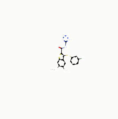 COc1cc2sc(C(=O)Nc3nnn[nH]3)c(Sc3cccc(Cl)c3)c2cc1C